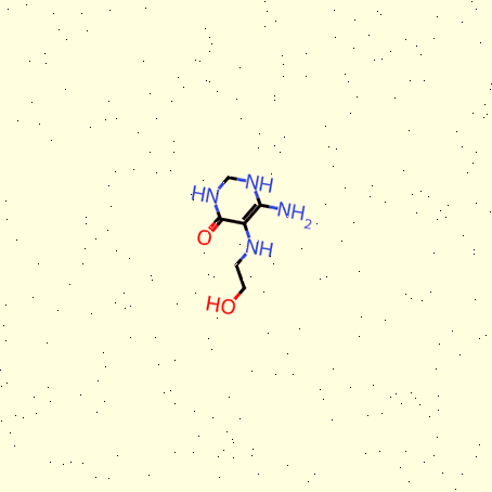 NC1=C(NCCO)C(=O)NCN1